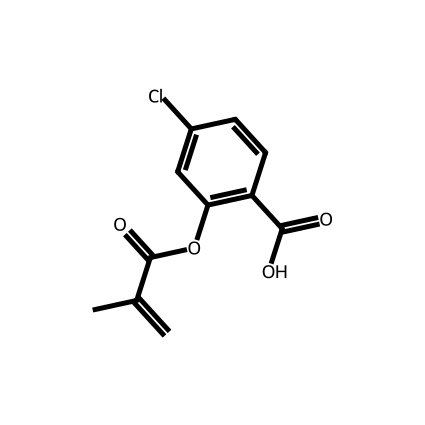 C=C(C)C(=O)Oc1cc(Cl)ccc1C(=O)O